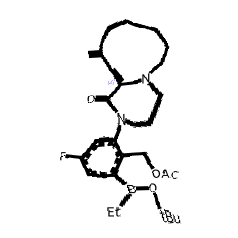 C=C1/C=C2/C(=O)N(c3cc(F)cc(B(CC)OC(C)(C)C)c3COC(C)=O)CCN2CCCCC1